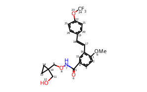 COc1ccc(C(=O)NOCC2(CO)CC2)cc1/C=C/c1ccc(OC(F)(F)F)cc1